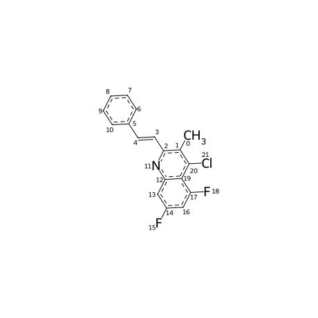 Cc1c(/C=C/c2ccccc2)nc2cc(F)cc(F)c2c1Cl